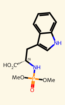 COP(=O)(N[C@@H](Cc1c[nH]c2ccccc12)C(=O)O)OC